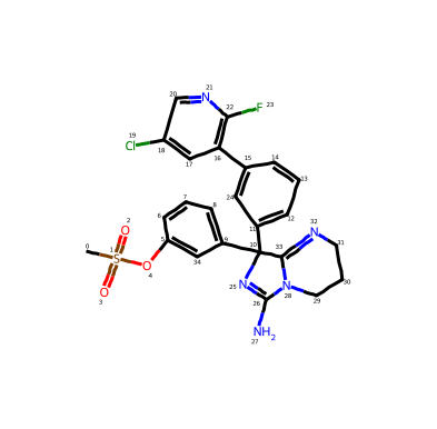 CS(=O)(=O)Oc1cccc(C2(c3cccc(-c4cc(Cl)cnc4F)c3)N=C(N)N3CCCN=C32)c1